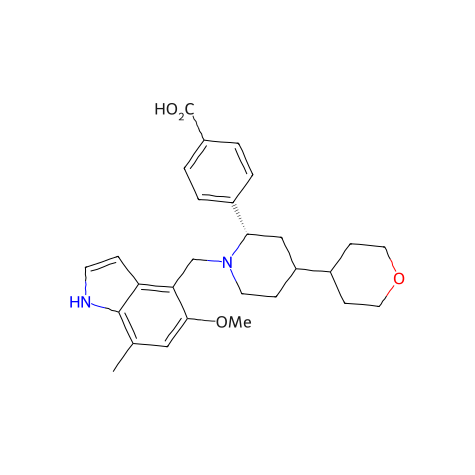 COc1cc(C)c2[nH]ccc2c1CN1CCC(C2CCOCC2)C[C@H]1c1ccc(C(=O)O)cc1